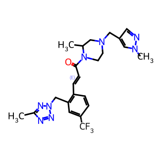 Cc1nnn(Cc2cc(C(F)(F)F)ccc2/C=C/C(=O)N2CCN(Cc3cnn(C)c3)CC2C)n1